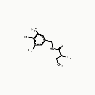 CCC(C)C(=O)NCc1cc(C)c(O)c(C)c1